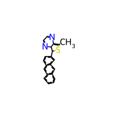 CC1=C2N=CC=NC2C(c2ccc3cc4ccccc4cc3c2)S1